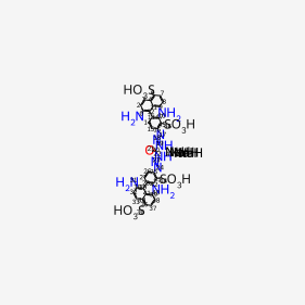 Nc1ccc2c(S(=O)(=O)O)ccc(N)c2c1-c1ccc(/N=N/NC(=O)N/N=N/c2ccc(-c3c(N)ccc4c(S(=O)(=O)O)ccc(N)c34)cc2S(=O)(=O)O)c(S(=O)(=O)O)c1.[NaH].[NaH].[NaH].[NaH]